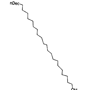 CCCCCCCCCCCCCCCCCCCCCCCCCCCCCCCO